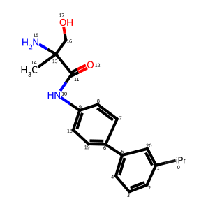 CC(C)c1cccc(-c2ccc(NC(=O)C(C)(N)CO)cc2)c1